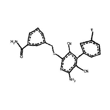 N#Cc1c(N)nc(SCc2cccc(C(N)=O)c2)c(C#N)c1-c1cccc(F)c1